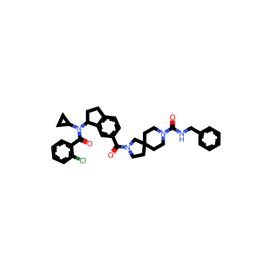 O=C(NCc1ccccc1)N1CCC2(CC1)CCN(C(=O)c1ccc3c(c1)C(N(C(=O)c1ccccc1Cl)C1CC1)CC3)C2